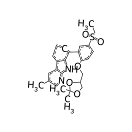 CCS(=O)(=O)c1ccc(OCC2COC(C)(C)O2)c(-c2cccc3c2[nH]c2ncc(C)cc23)c1